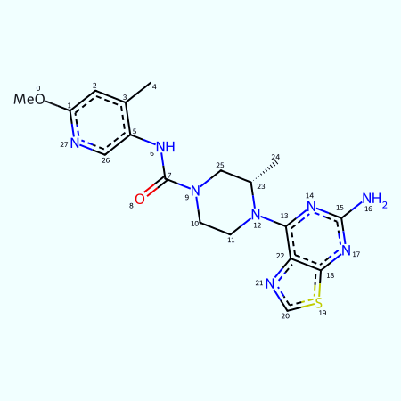 COc1cc(C)c(NC(=O)N2CCN(c3nc(N)nc4scnc34)[C@@H](C)C2)cn1